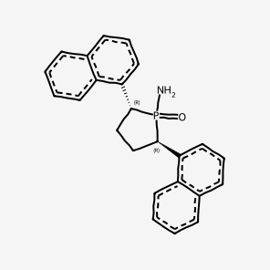 NP1(=O)[C@@H](c2cccc3ccccc23)CC[C@@H]1c1cccc2ccccc12